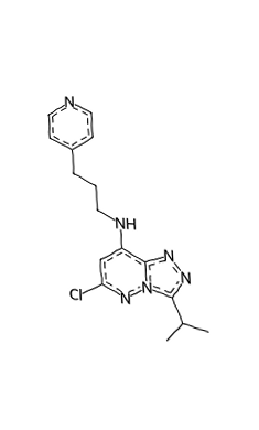 CC(C)c1nnc2c(NCCCc3ccncc3)cc(Cl)nn12